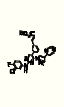 CCOC(=O)/C=C/c1cccc(-c2cnc(Nc3ccc(F)c(Cl)c3)nc2-n2cc(-c3ccncn3)cn2)c1